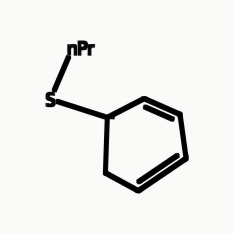 CCCS[C]1C=CC=CC1